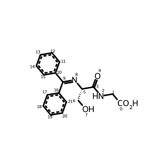 O=C(O)CNC(=O)[C@H](CO)N=C(c1ccccc1)c1ccccc1